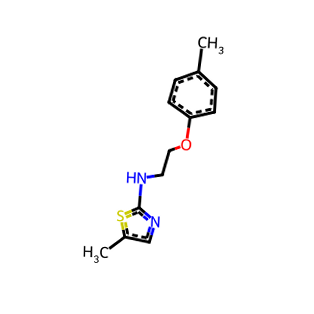 Cc1ccc(OCCNc2ncc(C)s2)cc1